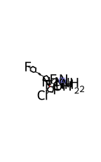 N/N=C\N(N)CC(O)(c1ccc(Cl)cc1F)C(F)(F)c1ccc(C#Cc2ccc(F)cc2)cn1